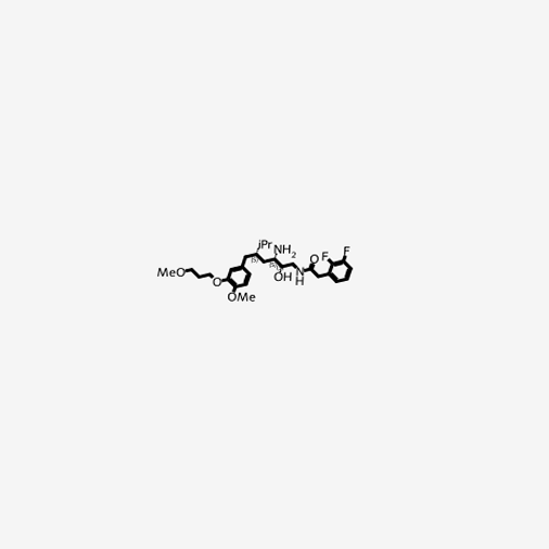 COCCCOc1cc(C[C@@H](C[C@H](N)[C@@H](O)CNC(=O)Cc2cccc(F)c2F)C(C)C)ccc1OC